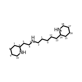 [CH](CCNCCC1CCCCN1)CCC1CCCCN1